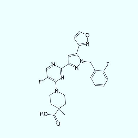 CC1(C(=O)O)CCN(c2nc(-c3cc(-c4ccon4)n(Cc4ccccc4F)n3)ncc2F)CC1